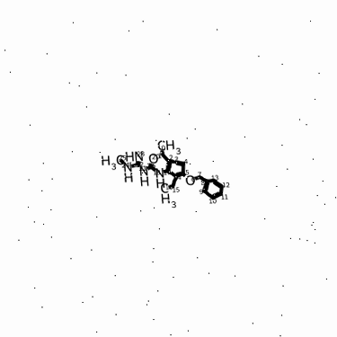 CCc1ccc(OCc2ccccc2)c(CC)c1NC(=O)NC(=N)NC